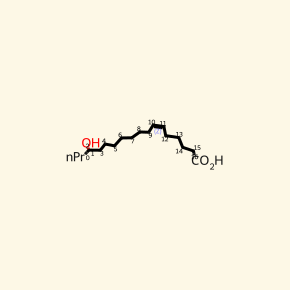 CCCC(O)CCCCCCC/C=C\CCCCC(=O)O